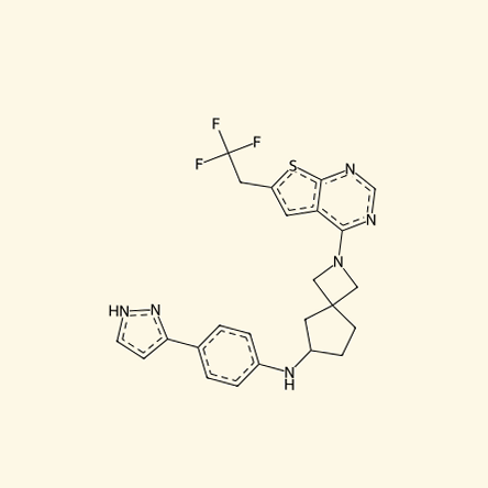 FC(F)(F)Cc1cc2c(N3CC4(CCC(Nc5ccc(-c6cc[nH]n6)cc5)C4)C3)ncnc2s1